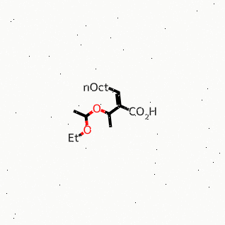 CCCCCCCCC=C(C(=O)O)C(C)OC(C)OCC